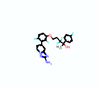 CC(O)(c1ccc(F)cc1)C(F)(F)CCOc1ccc(F)c(-c2ccn3nc(N)nc3c2)c1F